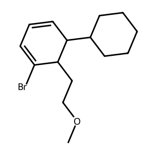 COCCC1C(Br)=CC=CC1C1CCCCC1